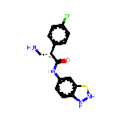 NC[C@@H](C(=O)Nc1ccc2c(c1)SNN2)c1ccc(Cl)cc1